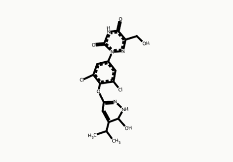 CC(C)C1=CC(Oc2c(Cl)cc(-n3nc(CO)c(=O)[nH]c3=O)cc2Cl)=NNC1O